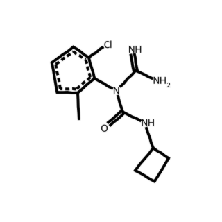 Cc1cccc(Cl)c1N(C(=N)N)C(=O)NC1CCC1